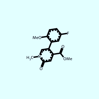 COC(=O)c1cc(=O)n(C)cc1-c1cc(F)ccc1OC